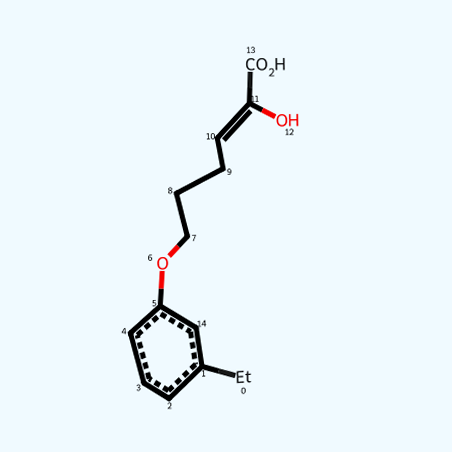 CCc1cccc(OCCCC=C(O)C(=O)O)c1